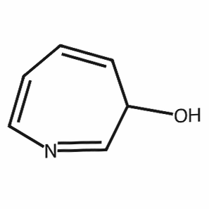 OC1C=CC=CN=C1